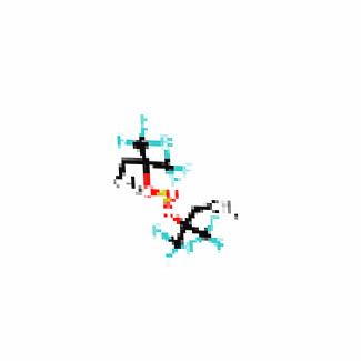 CCC(OS(=O)OC(CC)(C(F)(F)F)C(F)(F)F)(C(F)(F)F)C(F)(F)F